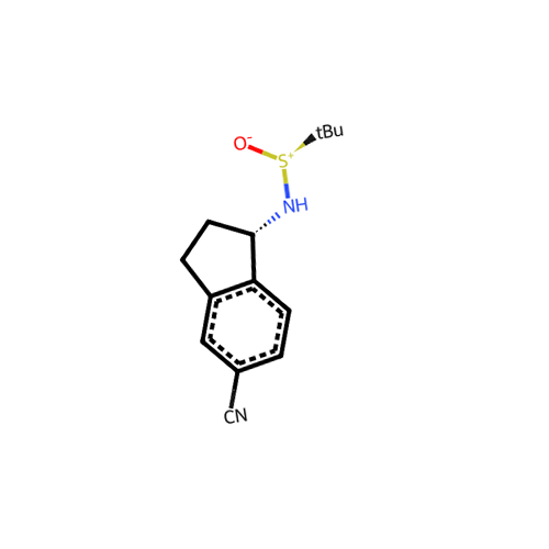 CC(C)(C)[S@+]([O-])N[C@H]1CCc2cc(C#N)ccc21